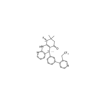 CC1(C)CC(=O)C2=C(Nc3ncccc3[C@]2(C)c2cccc(-c3ccncc3CC(F)(F)F)c2)[C@H]1F